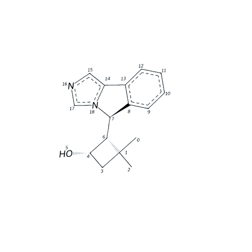 CC1(C)C[C@H](O)[C@@H]1[C@@H]1c2ccccc2-c2cncn21